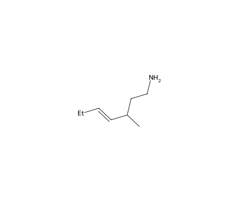 CC/C=C/C(C)CCN